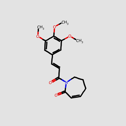 COc1cc(/C=C/C(=O)N2CCCC=CC2=O)cc(OC)c1OC